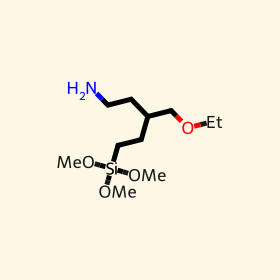 CCOCC(CCN)CC[Si](OC)(OC)OC